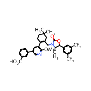 COc1ncc(-c2cccc(C(=O)O)c2)cc1C1=C(CN2C(=O)OC(c3cc(C(F)(F)F)cc(C(F)(F)F)c3)[C@@H]2C)CC(C)(C)CC1